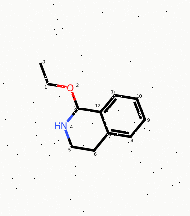 CCOC1NCCc2ccccc21